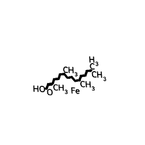 C/C(=C\C(=O)O)CCC[C@H](C)CCC[C@H](C)CCCC(C)C.[Fe]